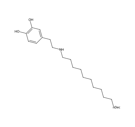 CCCCCCCCCCCCCCCCCCCCNCCc1ccc(O)c(O)c1